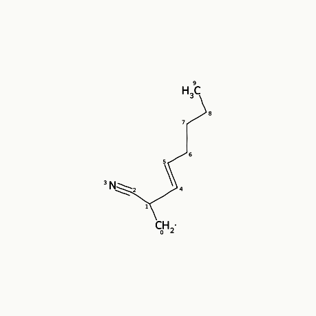 [CH2]C(C#N)C=CCCCC